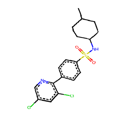 CC1CCC(NS(=O)(=O)c2ccc(-c3ncc(Cl)cc3Cl)cc2)CC1